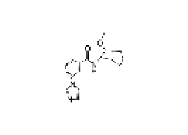 COC1C2CCCC2C1NC(=O)c1cccc(-n2ccnc2)c1